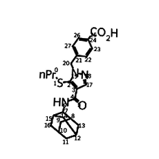 CCCSc1c(C(=O)NC2C3CC4CC(C3)CC2C4)cnn1Cc1ccc(C(=O)O)cc1